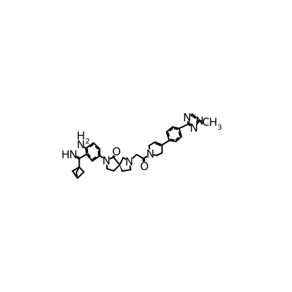 Cn1cnc(-c2ccc(C3=CCN(C(=O)CN4CC[C@]5(CCN(c6ccc(N)c(C(=N)C78CC(C7)C8)c6)C5=O)C4)CC3)cc2)n1